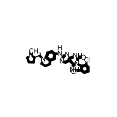 CN1CCC[C@@H]1CN1CCCc2cc(Nc3ncc4c(=N)n(-c5c(Cl)cccc5Cl)c(=O)[nH]c4n3)ccc21